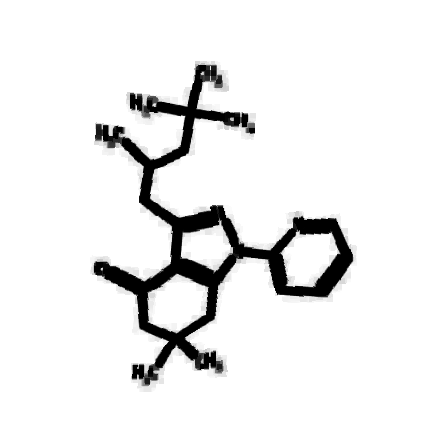 CC(Cc1nn(-c2ccccn2)c2c1C(=O)CC(C)(C)C2)CC(C)(C)C